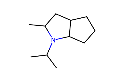 CC(C)N1C(C)CC2CCCC21